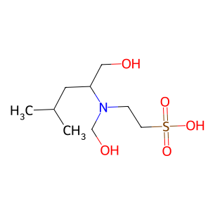 CC(C)CC(CO)N(CO)CCS(=O)(=O)O